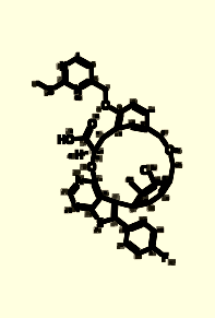 CSc1nccc(COc2ccc3cc2C[C@H](C(=O)O)Oc2ncnc4sc(-c5ccc(F)cc5)c(c24)-c2ccc(c(Cl)c2C)COC3)n1